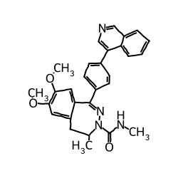 CNC(=O)N1N=C(c2ccc(-c3cncc4ccccc34)cc2)c2cc(OC)c(OC)cc2CC1C